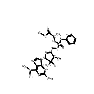 CC(=O)Nc1nc(N(C)C)c2ncn([C@@H]3O[C@H](COP(=O)(N[C@@H](C)C(=O)OC(C)C)Oc4ccccc4)[C@@H](O)C3(C)C)c2n1